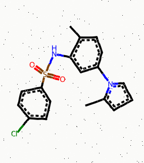 Cc1ccc(-n2cccc2C)cc1NS(=O)(=O)c1ccc(Cl)cc1